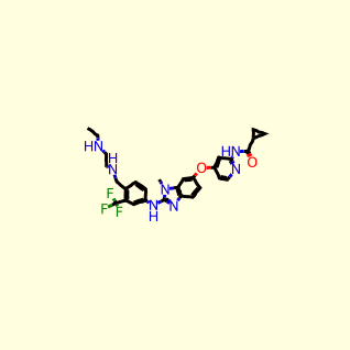 CCNCCNCc1ccc(Nc2nc3ccc(Oc4ccnc(NC(=O)C5CC5)c4)cc3n2C)cc1C(F)(F)F